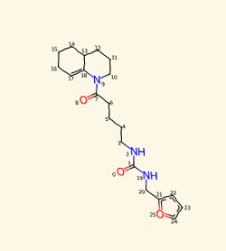 O=C(NCCCCC(=O)N1CCCC2CCCC=C21)NCc1ccco1